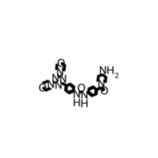 NC1CCN(C(=O)c2ccc(NC(=O)Nc3ccc(-c4nc(N5CCOCC5)nc(N5CCOCC5)n4)cc3)cc2)CC1